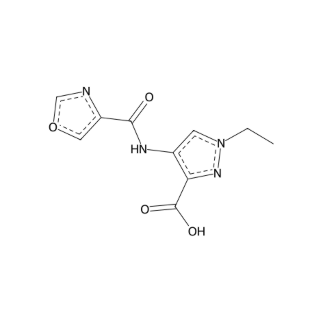 CCn1cc(NC(=O)c2cocn2)c(C(=O)O)n1